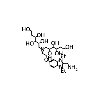 CCn1c(CN)[n+](CC)c2cc(OCCN(C[C@H](O)[C@@H](O)[C@H](O)CCO)C[C@H](O)[C@@H](O)[C@H](O)CCO)ccc21